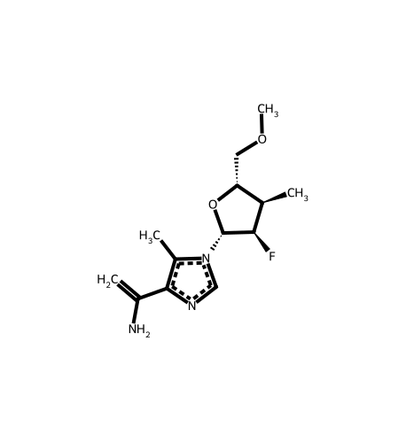 C=C(N)c1ncn([C@@H]2O[C@H](COC)[C@@H](C)[C@H]2F)c1C